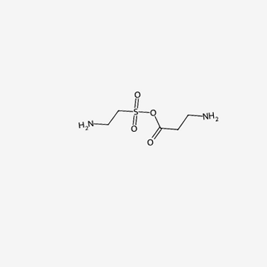 NCCC(=O)OS(=O)(=O)CCN